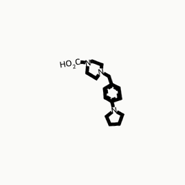 O=C(O)N1CCN(Cc2ccc(N3CCCC3)cc2)CC1